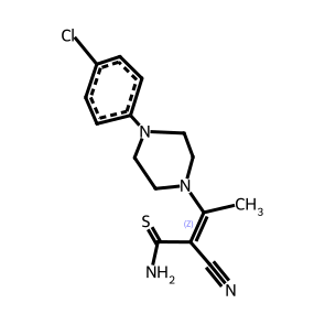 C/C(=C(\C#N)C(N)=S)N1CCN(c2ccc(Cl)cc2)CC1